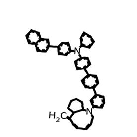 C=C1/C=C\C=C/CN(c2cccc(-c3ccc(-c4ccc(N(c5ccccc5)c5ccc(-c6ccc7ccccc7c6)cc5)cc4)cc3)c2)C2CCCCC12